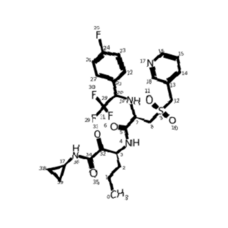 CCC[C@H](NC(=O)[C@H](CS(=O)(=O)Cc1cccnc1)NC(c1ccc(F)cc1)C(F)(F)F)C(=O)C(=O)NC1CC1